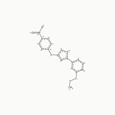 CCCc1cc(-c2nc(Cc3ccc([N+](=O)[O-])cc3)cs2)ccn1